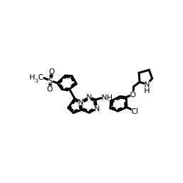 CS(=O)(=O)c1cccc(-c2ccc3cnc(Nc4ccc(Cl)c(OCC5CCCN5)c4)nn23)c1